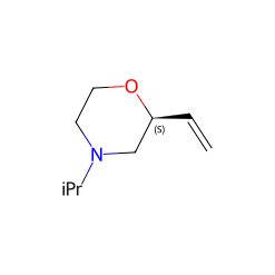 C=C[C@H]1CN(C(C)C)CCO1